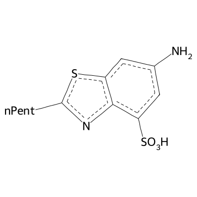 CCCCCc1nc2c(S(=O)(=O)O)cc(N)cc2s1